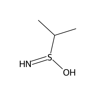 CC(C)S(=N)O